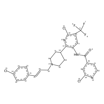 O=C(Nc1cc(C(F)(F)F)c(Cl)nc1C1CCN(CC=Cc2ccc(Cl)cc2)CC1)c1ccnc(Cl)c1